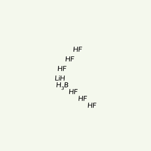 B.F.F.F.F.F.F.[LiH]